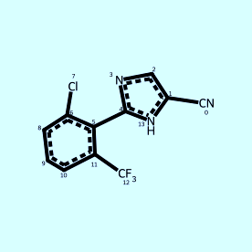 N#Cc1cnc(-c2c(Cl)cccc2C(F)(F)F)[nH]1